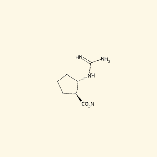 N=C(N)N[C@H]1CCC[C@@H]1C(=O)O